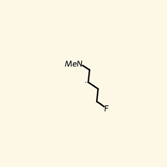 CNC[CH]CCF